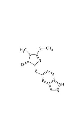 CSC1=N/C(=C\c2ccc3[nH]ncc3c2)C(=O)N1C